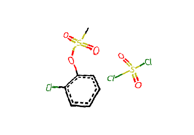 CS(=O)(=O)Oc1ccccc1Cl.O=S(=O)(Cl)Cl